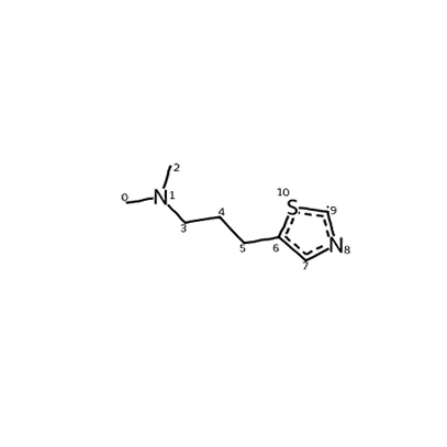 CN(C)CCCc1cn[c]s1